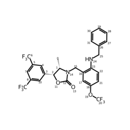 C[C@H]1[C@@H](c2cc(C(F)(F)F)cc(C(F)(F)F)c2)OC(=O)N1Cc1cc(OC(F)(F)F)ccc1NCc1ccccc1